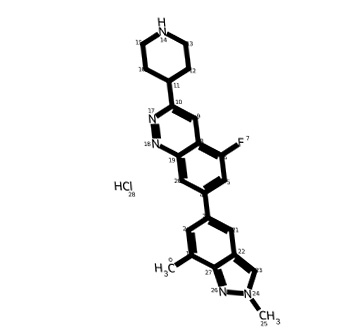 Cc1cc(-c2cc(F)c3cc(C4CCNCC4)nnc3c2)cc2cn(C)nc12.Cl